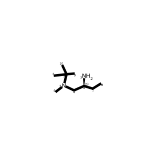 CC[C@H](N)CN(C)C(C)(C)C